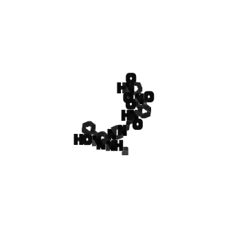 Nc1nnc(-c2ccccc2O)cc1N1CCN(CCC(=O)Nc2cccc3c2C(=O)N(C2CCC(=O)NC2=O)C3=O)CC1